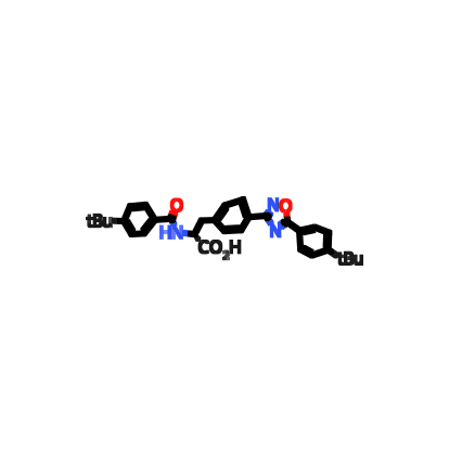 CC(C)(C)c1ccc(C(=O)N[C@@H](Cc2ccc(-c3noc(-c4ccc(C(C)(C)C)cc4)n3)cc2)C(=O)O)cc1